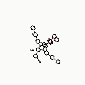 N#Cc1cccc(-c2cc(-n3c4ccc(-c5ccc(-c6ccccc6)nc5)cc4c4cc(-c5ccc(-c6ccccc6)nc5)ccc43)c(-n3c4ccc(-c5ccc(-c6ccccc6)nc5)cc4c4cc(-c5ccc(-c6ccccc6)nc5)ccc43)cc2C#N)c1